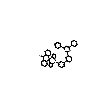 O=C1c2ccccc2C2(c3ccccc31)c1ccccc1N(c1cccc(-c3cccc(-c4nc(-c5ccccc5)cc(-c5ccccc5)n4)c3)c1)c1ccccc12